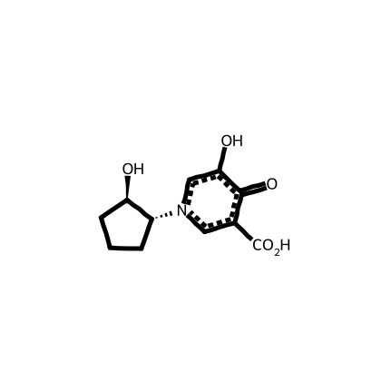 O=C(O)c1cn([C@@H]2CCC[C@H]2O)cc(O)c1=O